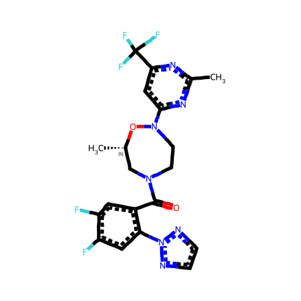 Cc1nc(N2CCN(C(=O)c3cc(F)c(F)cc3-n3nccn3)C[C@H](C)O2)cc(C(F)(F)F)n1